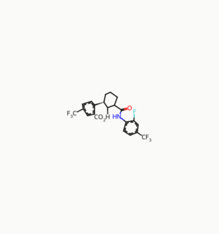 O=C(Nc1ccc(C(F)(F)F)cc1F)C1CCC[C@H](c2ccc(C(F)(F)F)cc2)C1C(=O)O